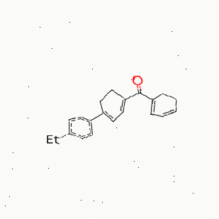 CCc1ccc(C2=CC=C(C(=O)C3=CC=CCC3)CC2)cc1